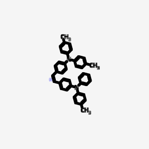 Cc1ccc(N(c2ccccc2)c2ccc(/C=C\c3ccc(N(c4ccc(C)cc4)c4ccc(C)cc4)cc3)cc2)cc1